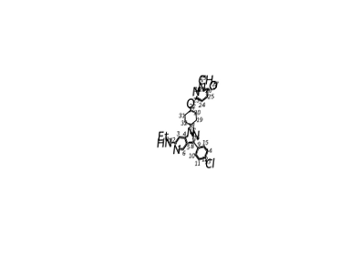 CCNc1cc2c(cn1)c(-c1ccc(Cl)cc1)nn2C1CCC(Oc2ccc(=O)n(C)n2)CC1